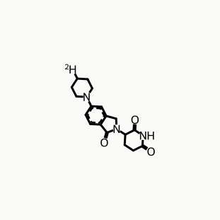 [2H]C1CCN(c2ccc3c(c2)CN(C2CCC(=O)NC2=O)C3=O)CC1